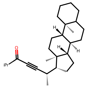 CC(C)C(=O)C#C[C@@H](C)[C@H]1CC[C@H]2[C@@H]3CCC4CCCC[C@]4(C)[C@H]3CC[C@]12C